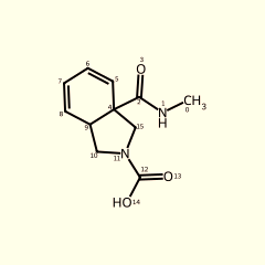 CNC(=O)C12C=CC=CC1CN(C(=O)O)C2